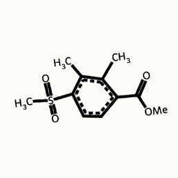 COC(=O)c1ccc(S(C)(=O)=O)c(C)c1C